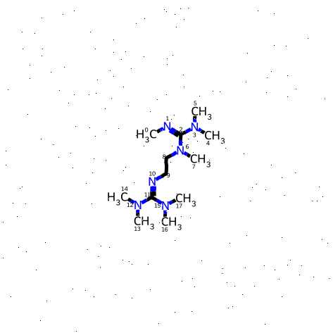 CN=C(N(C)C)N(C)CCN=C(N(C)C)N(C)C